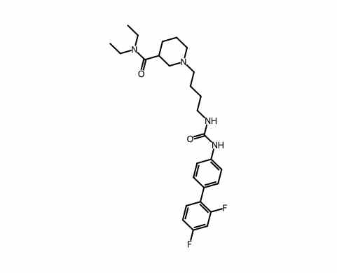 CCN(CC)C(=O)C1CCCN(CCCCNC(=O)Nc2ccc(-c3ccc(F)cc3F)cc2)C1